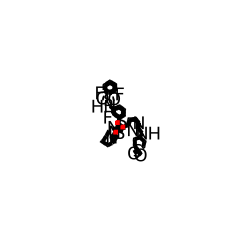 O=S1(=O)CCC(Nc2nccc(-c3sc(N4C5CCC4CN(C4CSC4)C5)nc3-c3cccc(NS(=O)(=O)c4c(F)cccc4F)c3F)n2)CC1